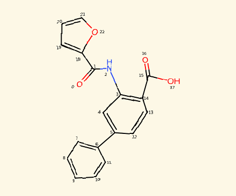 O=C(Nc1cc(-c2ccccc2)ccc1C(=O)O)c1ccco1